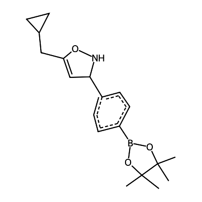 CC1(C)OB(c2ccc(C3C=C(CC4CC4)ON3)cc2)OC1(C)C